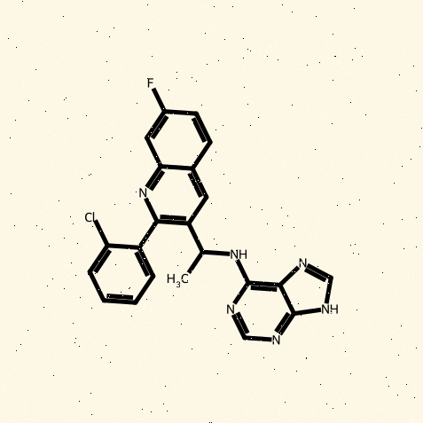 CC(Nc1ncnc2[nH]cnc12)c1cc2ccc(F)cc2nc1-c1ccccc1Cl